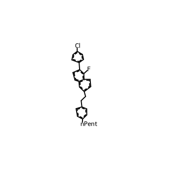 CCCCCc1ccc(CCc2ccc3c(F)c(-c4ccc(Cl)cc4)ccc3c2)cc1